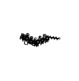 CCC/C=C/CCc1cc(F)c(-c2cc(F)c(-c3cc(F)c(C(F)(F)Oc4cc(F)c(-c5cc(F)c(OC(F)(F)F)c(F)c5)c(Cl)c4)c(F)c3)c(F)c2)c(F)c1